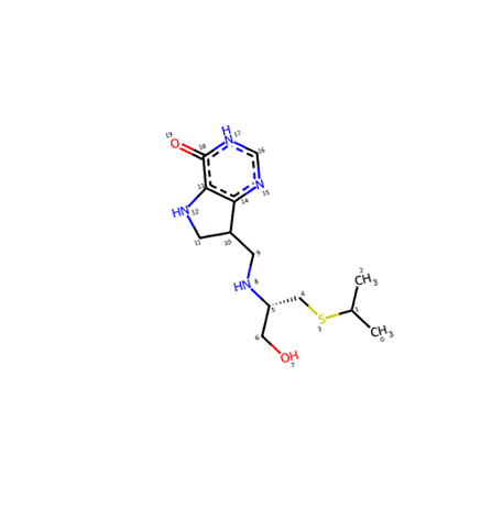 CC(C)SC[C@H](CO)NCC1CNc2c1nc[nH]c2=O